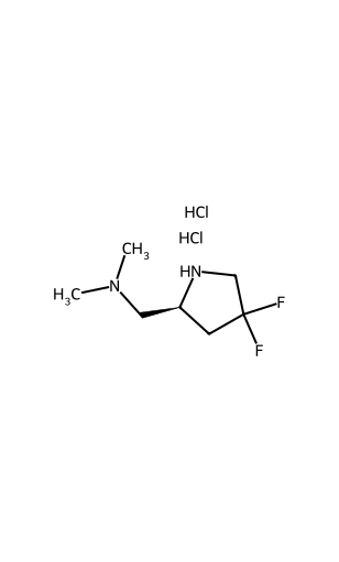 CN(C)C[C@@H]1CC(F)(F)CN1.Cl.Cl